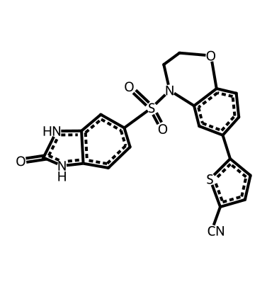 N#Cc1ccc(-c2ccc3c(c2)N(S(=O)(=O)c2ccc4[nH]c(=O)[nH]c4c2)CCO3)s1